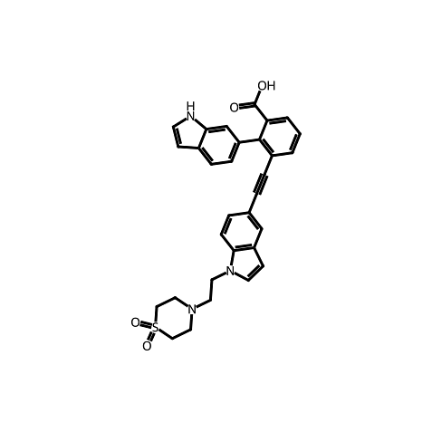 O=C(O)c1cccc(C#Cc2ccc3c(ccn3CCN3CCS(=O)(=O)CC3)c2)c1-c1ccc2cc[nH]c2c1